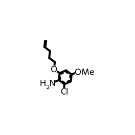 C=CCCCOc1cc(OC)cc(Cl)c1N